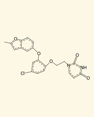 Cc1cc2cc(Oc3cc(Cl)ccc3OCCn3ccc(=O)[nH]c3=O)ccc2o1